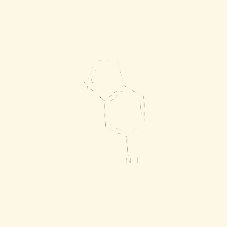 Nc1ccc2c(c1)[N+]=CC2